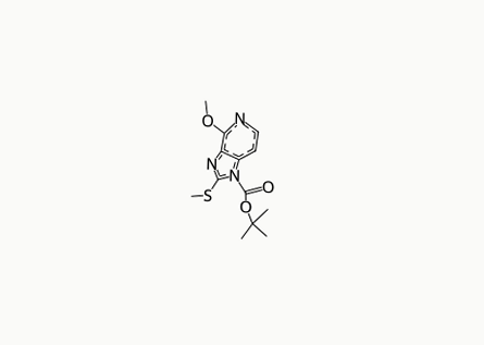 COc1nccc2c1nc(SC)n2C(=O)OC(C)(C)C